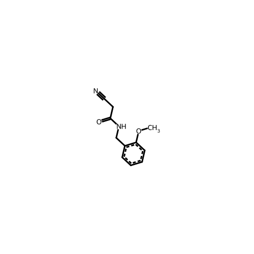 COc1ccccc1CNC(=O)CC#N